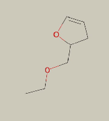 CCOCC1CC=CO1